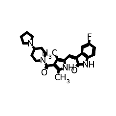 Cc1[nH]c(C=C2C(=O)Nc3ccc(F)cc32)c(C)c1C(=O)N1CCC(N2CCCC2)CC1